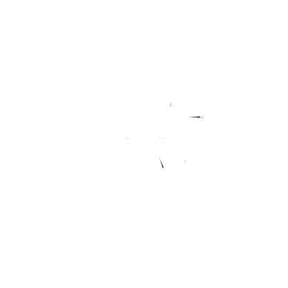 CC(C)C[C@H](NC(=O)[C@@H](NC(=O)OC(C)(C)C)C(C)C)C(=O)N1CCC[C@H]1C(=O)OCc1ccccc1